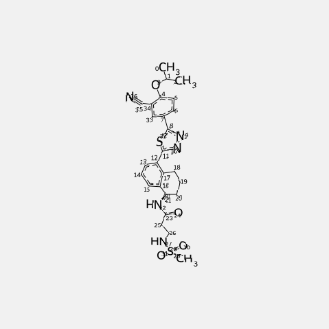 CC(C)Oc1ccc(-c2nnc(-c3cccc4c3CCC[C@H]4NC(=O)CCNS(C)(=O)=O)s2)cc1C#N